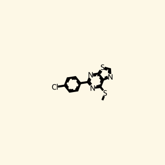 CSc1nc(-c2ccc(Cl)cc2)nc2scnc12